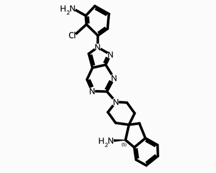 Nc1cccc(-n2cc3cnc(N4CCC5(CC4)Cc4ccccc4[C@H]5N)nc3n2)c1Cl